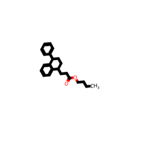 CCCCOC(=O)CCC1CCC(c2ccccc2)c2ccccc21